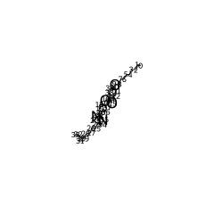 C=CCCCCCCCOc1ccc(C(=O)Oc2ccc(-c3ncc(CCCCC[C@@H](C)CC)cn3)cc2)cc1